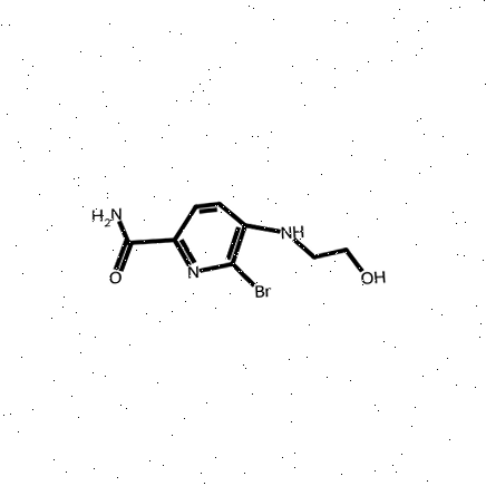 NC(=O)c1ccc(NCCO)c(Br)n1